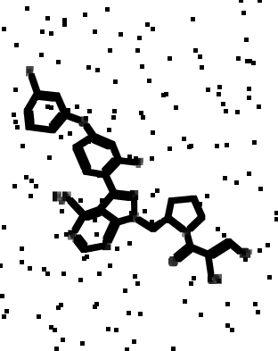 CC(C)C=C(C#N)C(=O)N1CCC[C@@H]1Cn1nc(-c2ccc(Oc3cccc(F)c3)cc2F)c2c(N)ncnc21